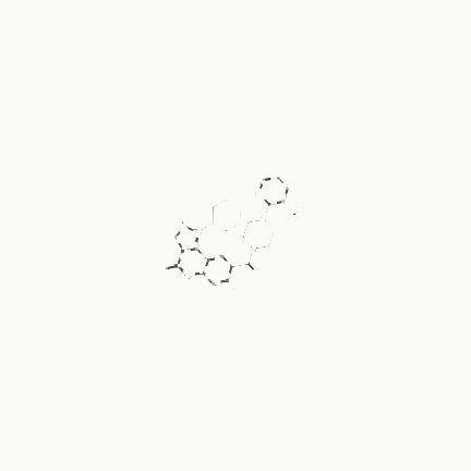 Cc1cc2[nH]c(=O)c3cnn(C4CCOCC4)c3c2cc1C(=O)N1CCN(c2ncccc2C(F)(F)F)CC1